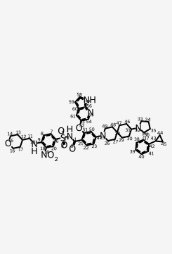 O=C(NS(=O)(=O)c1ccc(NCC2CCOCC2)c([N+](=O)[O-])c1)c1ccc(N2CCC3(CCC(N4CCC[C@@H]4c4ccccc4C4CC4)CC3)CC2)cc1Oc1cnc2[nH]ccc2c1